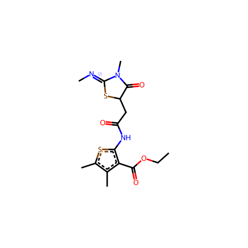 CCOC(=O)c1c(NC(=O)CC2S/C(=N\C)N(C)C2=O)sc(C)c1C